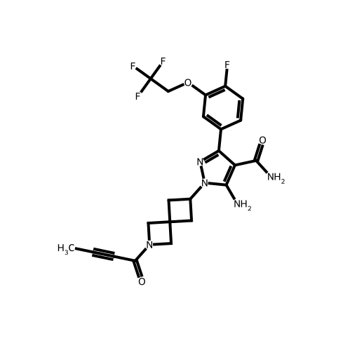 CC#CC(=O)N1CC2(CC(n3nc(-c4ccc(F)c(OCC(F)(F)F)c4)c(C(N)=O)c3N)C2)C1